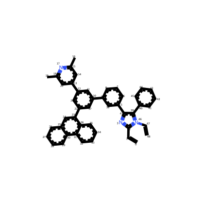 C=Cc1nc(-c2cccc(-c3cc(-c4cc(C)nc(C)c4)cc(-c4cc5ccccc5c5ccccc45)c3)c2)c(-c2ccccc2)n1C=C